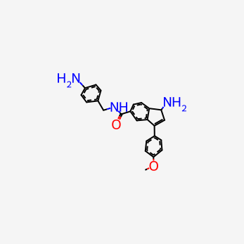 COc1ccc(C2=CC(N)c3ccc(C(=O)NCc4ccc(N)cc4)cc32)cc1